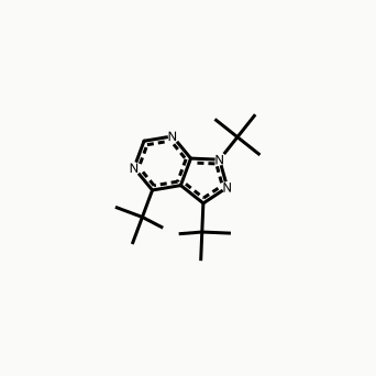 CC(C)(C)c1ncnc2c1c(C(C)(C)C)nn2C(C)(C)C